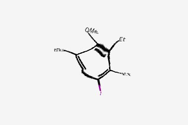 CCc1c(I)cc(C(C)(C)C)c(OC)c1CC